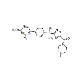 C=C(N)/N=C\C(=C/N)c1ccc(C(C)(c2noc(C(=O)N3CCNCC3)n2)C(C)C)cc1